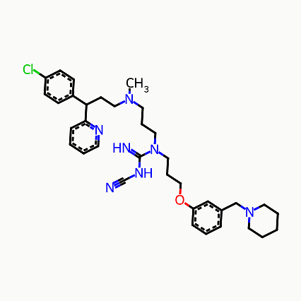 CN(CCCN(CCCOc1cccc(CN2CCCCC2)c1)C(=N)NC#N)CCC(c1ccc(Cl)cc1)c1ccccn1